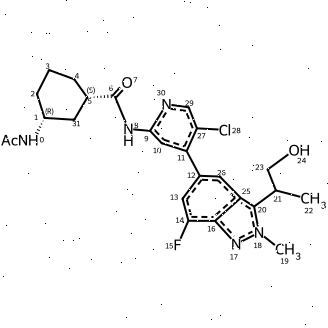 CC(=O)N[C@@H]1CCC[C@H](C(=O)Nc2cc(-c3cc(F)c4nn(C)c(C(C)CO)c4c3)c(Cl)cn2)C1